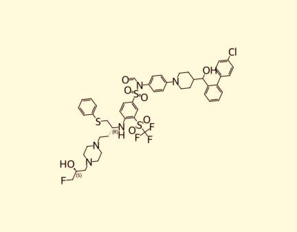 O=CN(c1ccc(N2CCC(C(O)c3ccccc3-c3ccc(Cl)cc3)CC2)cc1)S(=O)(=O)c1ccc(N[C@H](CCN2CCN(C[C@H](O)CF)CC2)CSc2ccccc2)c(S(=O)(=O)C(F)(F)F)c1